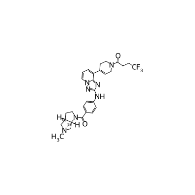 CN1C[C@@H]2CCN(C(=O)c3ccc(Nc4nc5c(C6=CCN(C(=O)CCC(F)(F)F)CC6)cccn5n4)cc3)[C@@H]2C1